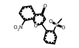 CS(=O)(=O)c1ccccc1-c1cc(=O)c2cccc([N+](=O)[O-])c2o1